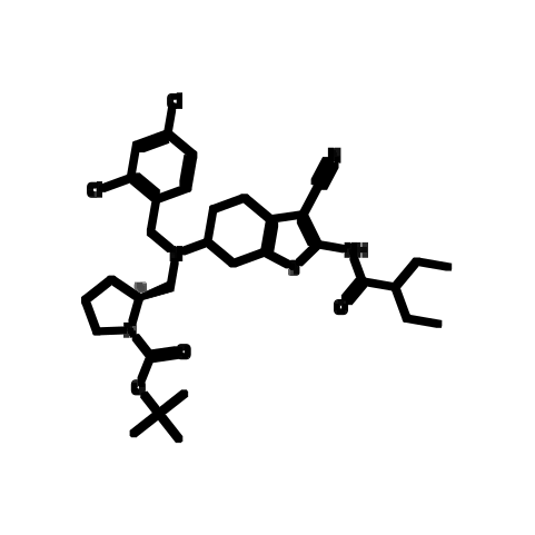 CCC(CC)C(=O)Nc1sc2c(c1C#N)CCC(N(Cc1ccc(Cl)cc1Cl)C[C@@H]1CCCN1C(=O)OC(C)(C)C)C2